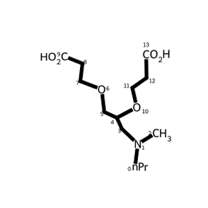 CCCN(C)CC(COCCC(=O)O)OCCC(=O)O